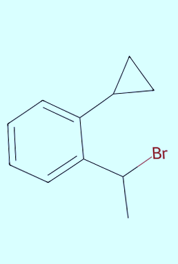 CC(Br)c1ccccc1C1CC1